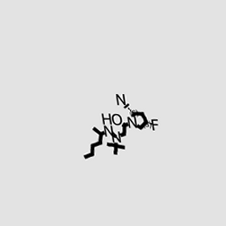 CCCCC(C)NN(CC(=O)N1C[C@@H](F)C[C@H]1C#N)C(C)(C)C